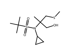 CSCC(C)(CO)N(C1CC1)S(=O)(=O)C(C)(C)C